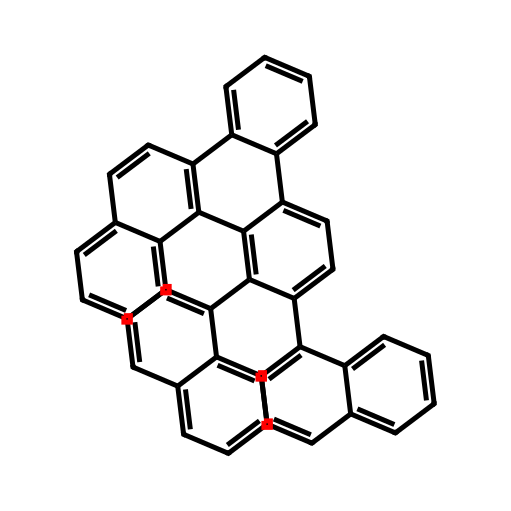 c1ccc2c(-c3ccc4c5ccccc5c5ccc6ccccc6c5c4c3-c3cccc4ccccc34)cccc2c1